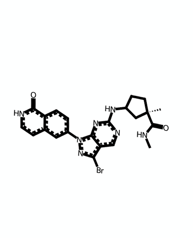 CNC(=O)[C@]1(C)CCC(Nc2ncc3c(Br)nn(-c4ccc5c(=O)[nH]ccc5c4)c3n2)C1